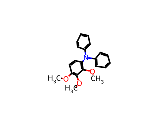 COc1ccc(N(c2ccccc2)c2ccccc2)c(OC)c1OC